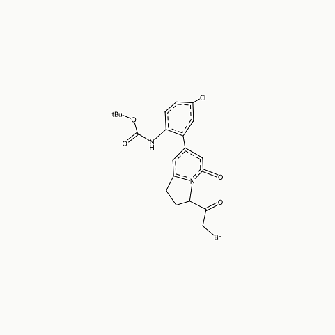 CC(C)(C)OC(=O)Nc1ccc(Cl)cc1-c1cc2n(c(=O)c1)C(C(=O)CBr)CC2